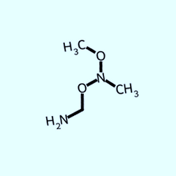 CON(C)OCN